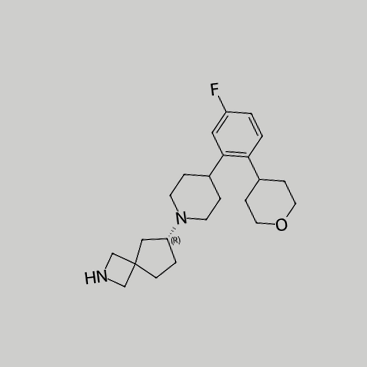 Fc1ccc(C2CCOCC2)c(C2CCN([C@@H]3CCC4(CNC4)C3)CC2)c1